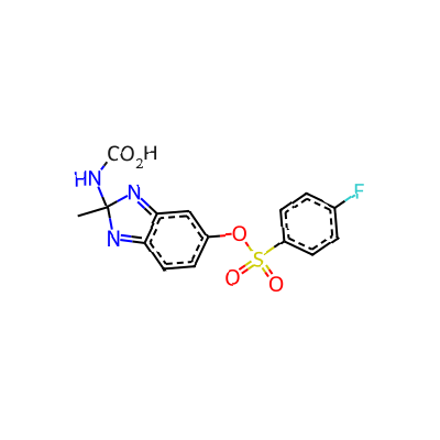 CC1(NC(=O)O)N=c2ccc(OS(=O)(=O)c3ccc(F)cc3)cc2=N1